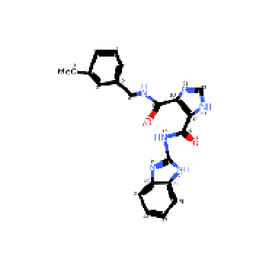 COc1cccc(CNC(=O)c2nc[nH]c2C(=O)Nc2nc3ccccc3[nH]2)c1